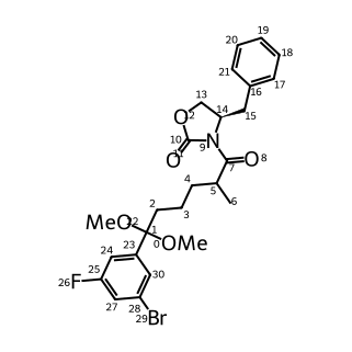 COC(CCCC(C)C(=O)N1C(=O)OC[C@H]1Cc1ccccc1)(OC)c1cc(F)cc(Br)c1